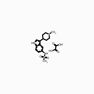 CN1CCC(c2c[nH]c3ccc(NS(C)(=O)=O)cc23)CC1.O=C(O)C(=O)O